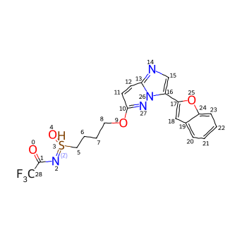 O=C(/N=[SH](=O)/CCCCOc1ccc2ncc(-c3cc4ccccc4o3)n2n1)C(F)(F)F